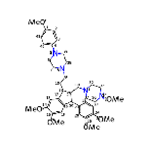 COc1ccc(N2CCN(CCC3c4cc(OC)c(OC)cc4C(c4ccc(OC)c(OC)c4)C3CN3CCN(OC)CC3)CC2)cc1